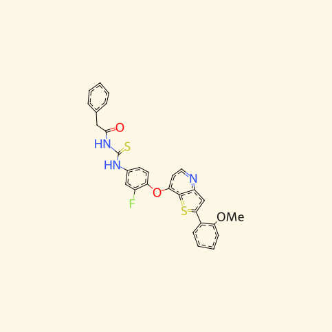 COc1ccccc1-c1cc2nccc(Oc3ccc(NC(=S)NC(=O)Cc4ccccc4)cc3F)c2s1